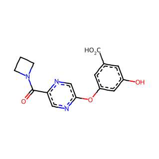 O=C(O)c1cc(O)cc(Oc2cnc(C(=O)N3CCC3)cn2)c1